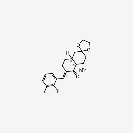 CCC[C@@]12CCC3(C[C@H]1CC/C(=C\c1cccc(C)c1F)C2=O)OCCO3